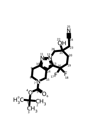 CC(C)(C)OC(=O)N1CCc2nn3c(c2C1)C(F)(F)CCC(O)(CC#N)C3